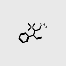 C=CC(c1ccccc1)C(CN)[N+](C)(C)C